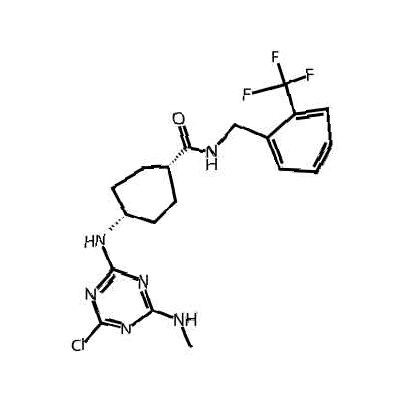 CNc1nc(Cl)nc(N[C@H]2CC[C@@H](C(=O)NCc3ccccc3C(F)(F)F)CC2)n1